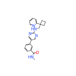 CNC(=O)c1cccc(-c2cnc(NCC3(c4ccccn4)CCC3)nc2)c1